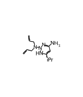 C=CCN(CC=C)N1N=C(N)C=C(C(C)C)N1